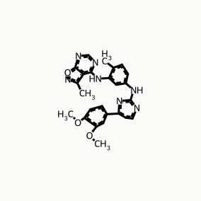 COc1ccc(-c2ccnc(Nc3ccc(C)c(Nc4ncnc5onc(C)c45)c3)n2)cc1OC